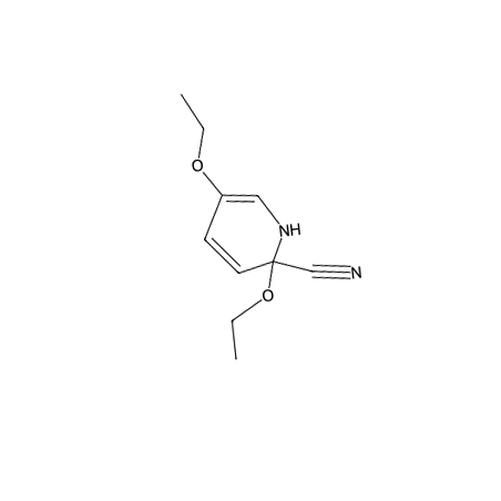 CCOC1=CNC(C#N)(OCC)C=C1